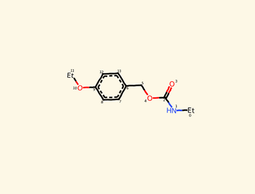 CCNC(=O)OCc1ccc(OCC)cc1